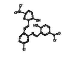 O=[N+]([O-])c1ccc(O)c(C=Nc2ccc(Cl)cc2N=Cc2cc([N+](=O)[O-])ccc2O)c1